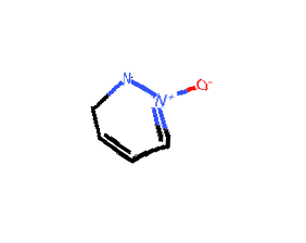 [O-][N+]1=CC=CC[N]1